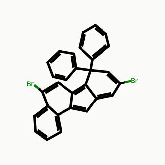 BrC1=CC(c2ccccc2)(c2ccccc2)C2=c3cc(Br)c4ccccc4c3=CC2=C1